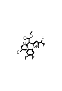 CCOC(=O)C(c1ncc(Cl)cn1)c1cc(C(F)F)nn1-c1ccc(F)c(F)c1